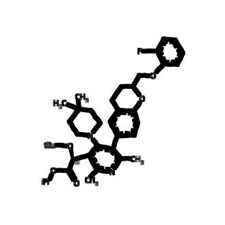 Cc1nc(C)c([C@H](OC(C)(C)C)C(=O)OC(C)C)c(N2CCC(C)(C)CC2)c1-c1ccc2c(c1)CCC(COc1ccccc1F)O2